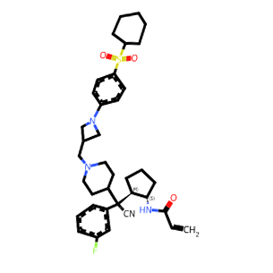 C=CC(=O)N[C@H]1CCC[C@@H]1C(C#N)(c1cccc(F)c1)C1CCN(CC2CN(c3ccc(S(=O)(=O)C4CCCCC4)cc3)C2)CC1